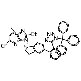 CCc1nc2c(C)cc(Cl)nc2n1[C@H]1CCc2cc(-c3ccccc3-c3nnnn3C(c3ccccc3)(c3ccccc3)c3ccccc3)ccc21